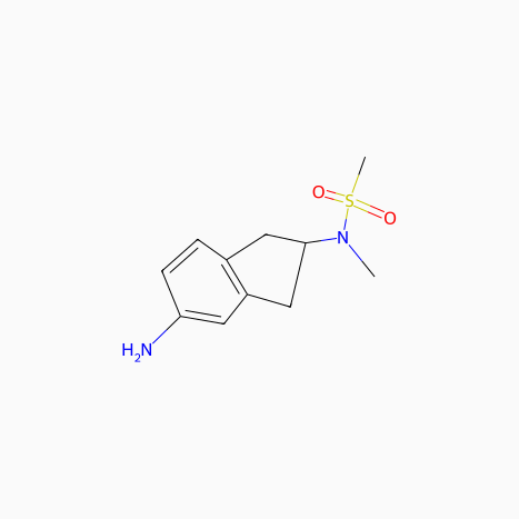 CN(C1Cc2ccc(N)cc2C1)S(C)(=O)=O